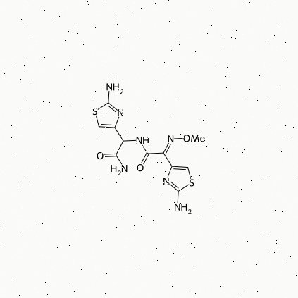 CON=C(C(=O)NC(C(N)=O)c1csc(N)n1)c1csc(N)n1